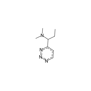 CCC(c1ccnnn1)N(C)C